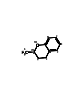 FC(F)(F)[C@@H]1CCc2ccccc2O1